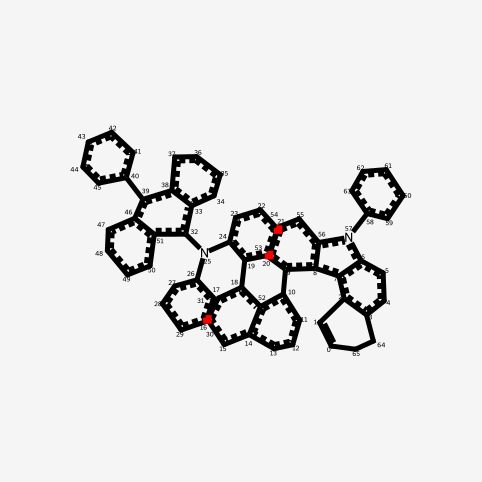 C1=Cc2c(ccc3c2c2c(-c4cccc5cccc(-c6ccccc6N(c6ccccc6)c6c7ccccc7c(-c7ccccc7)c7ccccc67)c45)cccc2n3-c2ccccc2)CC1